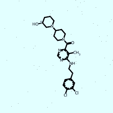 Cc1c(NCCc2ccc(Cl)c(Cl)c2)ncnc1C(=O)N1CCC(N2CCC[C@H](O)C2)CC1